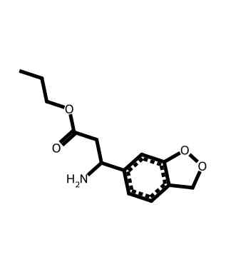 CCCOC(=O)CC(N)c1ccc2c(c1)OOC2